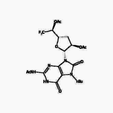 CCCCn1c(=O)n([C@@H]2O[C@H]([C@H](OC(C)=O)C(F)(F)F)C[C@H]2OC(C)=O)c2nc(NC(C)=O)[nH]c(=O)c21